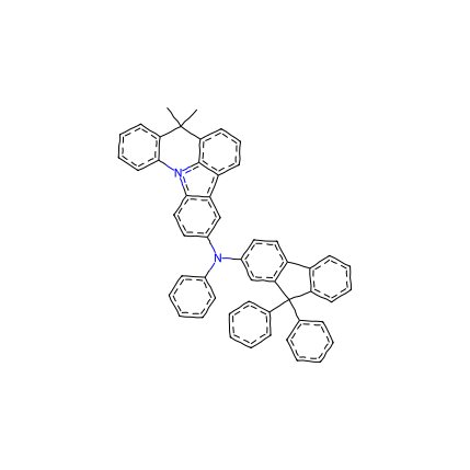 CC1(C)c2ccccc2-n2c3ccc(N(c4ccccc4)c4ccc5c(c4)C(c4ccccc4)(c4ccccc4)c4ccccc4-5)cc3c3cccc1c32